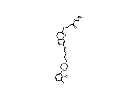 CNCOC(=O)OCOC1=Nc2cc(OCCCCN3CCN(c4cccc(C)c4Cl)CC3)ccc2CC1